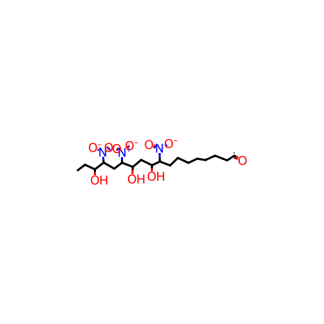 CCC(O)C(CC(C(O)CC(O)C(CCCCCCC[C]=O)[N+](=O)[O-])[N+](=O)[O-])[N+](=O)[O-]